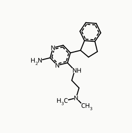 CN(C)CCNc1nc(N)ncc1C1CCc2ccccc21